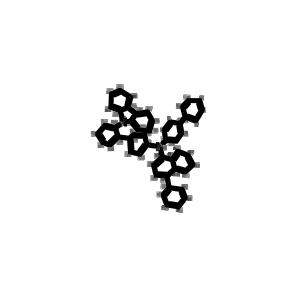 c1ccc(-c2ccc(N(c3ccc(-c4ccccc4-n4c5ccccc5c5ccccc54)cc3)c3ccc(-c4ccccc4)c4ccccc34)cc2)cc1